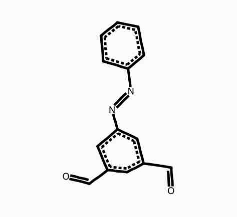 O=Cc1cc(C=O)cc(N=Nc2ccccc2)c1